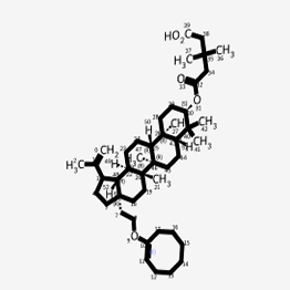 C=C(C)C1CC[C@]2(CCO/C3=C/CCCCCC3)CC[C@]3(C)[C@H](CC[C@@H]4[C@@]5(C)CC[C@H](OC(=O)CC(C)(C)CC(=O)O)C(C)(C)[C@@H]5CC[C@]43C)[C@@H]12